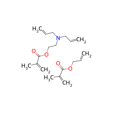 C=CCN(CC=C)CCOC(=O)C(=C)C.C=CCOC(=O)C(=C)C